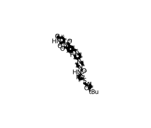 CC(C)(C)c1cnc(CSc2cnc(NC(=O)N3CCN(C4CCN(Cc5cc6c(cc5F)C(=O)N(C5CCC(=O)NC5=O)C6=O)CC4)CC3)s2)o1